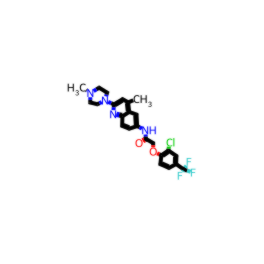 Cc1cc(N2CCN(C)CC2)nc2ccc(NC(=O)COc3ccc(C(F)(F)F)cc3Cl)cc12